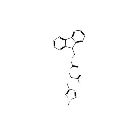 Cn1cnc(C[C@H](NC(=O)OCC2c3ccccc3-c3ccccc32)C(=O)O)c1